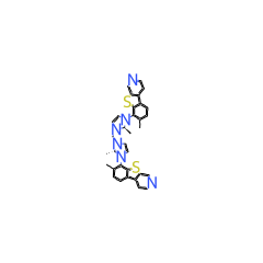 Cc1ccc2c(sc3cnccc32)c1N1C=CN(CN2C=CN(c3c(C)ccc4c3sc3cnccc34)[C@H]2C)[C@H]1C